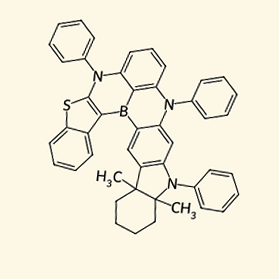 CC12CCCCC1(C)N(c1ccccc1)c1cc3c(cc12)B1c2c(cccc2N(c2ccccc2)c2sc4ccccc4c21)N3c1ccccc1